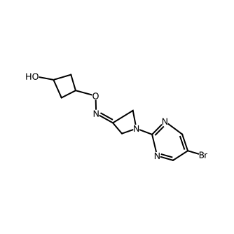 OC1CC(ON=C2CN(c3ncc(Br)cn3)C2)C1